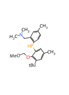 COCOc1c(Pc2ccc(C)cc2CN(C)C)cc(C)cc1C(C)(C)C